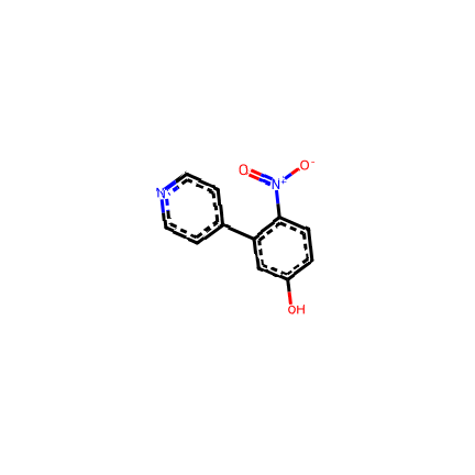 O=[N+]([O-])c1ccc(O)cc1-c1ccncc1